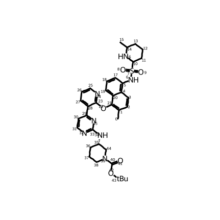 Cc1ccc2c(NS(=O)(=O)C3CCCC(C)N3)cccc2c1Oc1ncccc1-c1ccnc(N[C@H]2CCCN(C(=O)OC(C)(C)C)C2)n1